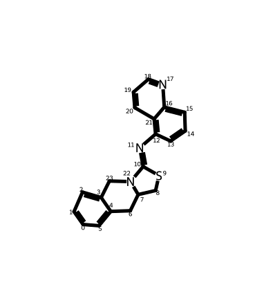 c1ccc2c(c1)CC1CSC(=Nc3cccc4ncccc34)N1C2